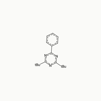 CC(C)(C)c1nc(-c2ccccc2)nc(C(C)(C)C)n1